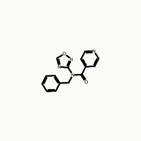 O=C(c1ccncc1)N(Cc1ccccc1)c1ncon1